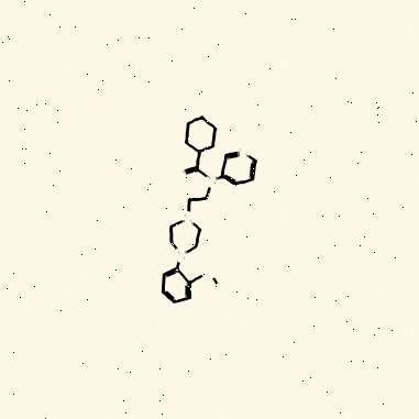 COc1ccccc1N1CCN(CCN(C(=O)C2CCCCC2)c2cccnc2)CC1